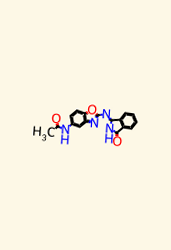 CC(=O)Nc1ccc2oc(N=C3NC(=O)c4ccccc43)nc2c1